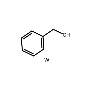 OCc1ccccc1.[W]